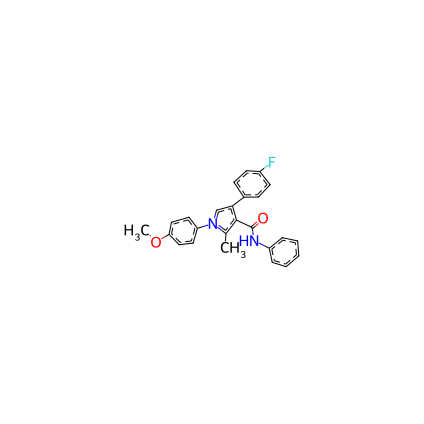 COc1ccc(-n2cc(-c3ccc(F)cc3)c(C(=O)Nc3ccccc3)c2C)cc1